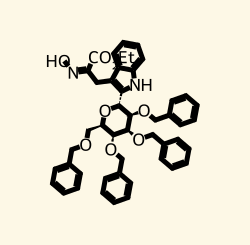 CCOC(=O)/C(Cc1c([C@H]2O[C@H](COCc3ccccc3)[C@@H](OCc3ccccc3)[C@H](OCc3ccccc3)[C@@H]2OCc2ccccc2)[nH]c2ccccc12)=N\O